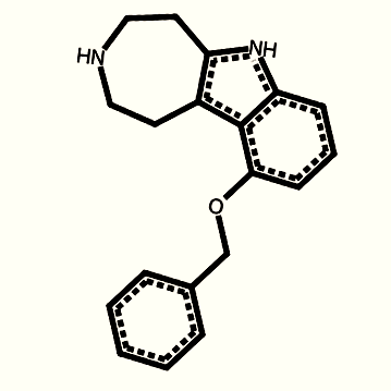 c1ccc(COc2cccc3[nH]c4c(c23)CCNCC4)cc1